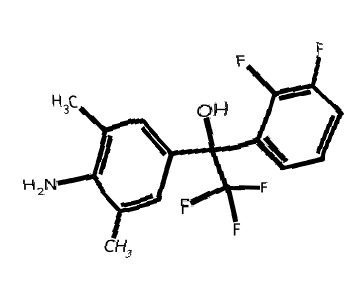 Cc1cc(C(O)(c2cccc(F)c2F)C(F)(F)F)cc(C)c1N